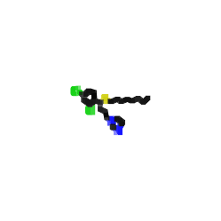 CCCCCCCCSC(CCCn1ccnc1)c1ccc(Cl)cc1Cl